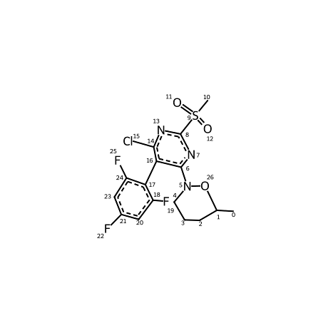 CC1CCCN(c2nc(S(C)(=O)=O)nc(Cl)c2-c2c(F)cc(F)cc2F)O1